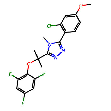 COc1ccc(-c2nnc(C(C)(C)Oc3c(F)cc(F)cc3F)n2C)c(Cl)c1